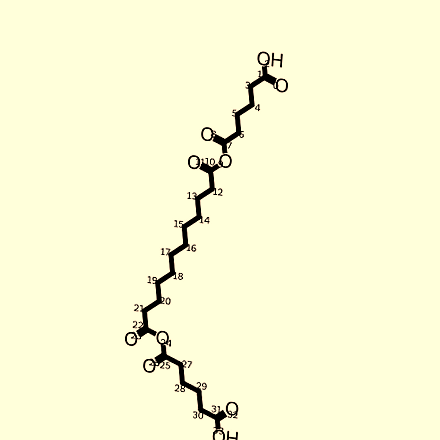 O=C(O)CCCCC(=O)OC(=O)CCCCCCCCCCC(=O)OC(=O)CCCCC(=O)O